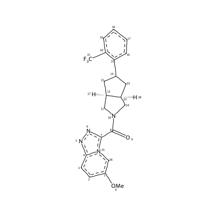 COc1ccc2nnc(C(=O)N3C[C@H]4CC(c5ccccc5C(F)(F)F)C[C@H]4C3)n2c1